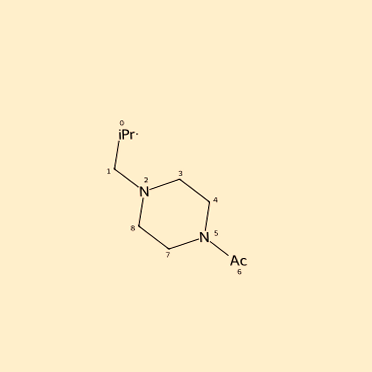 C[C](C)CN1CCN(C(C)=O)CC1